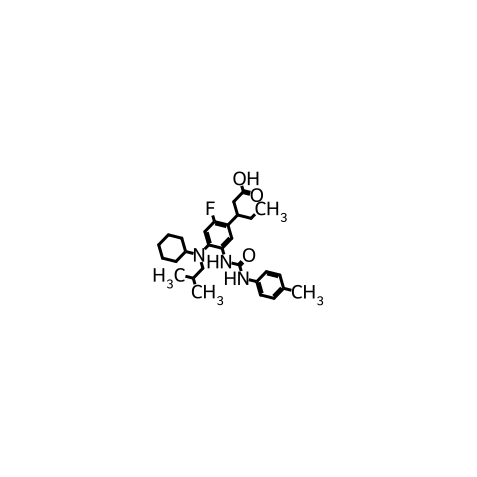 CCC(CC(=O)O)c1cc(NC(=O)Nc2ccc(C)cc2)c(N(CC(C)C)C2CCCCC2)cc1F